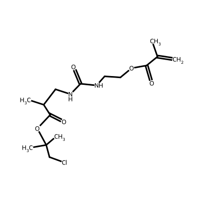 C=C(C)C(=O)OCCNC(=O)NCC(C)C(=O)OC(C)(C)CCl